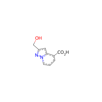 O=C(O)c1cccn2nc(CO)cc12